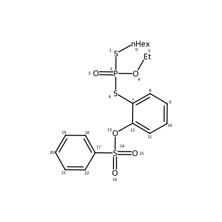 CCCCCCSP(=O)(OCC)Sc1ccccc1OS(=O)(=O)c1ccccc1